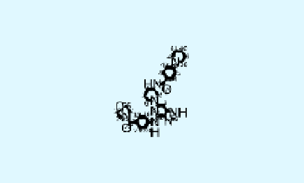 O=C(NC1CCCN(c2cc3[nH]cnc3c(Nc3ccc(C(=O)N4CCOCC4)cc3)n2)C1)c1ccc(N2CCCCC2)cc1